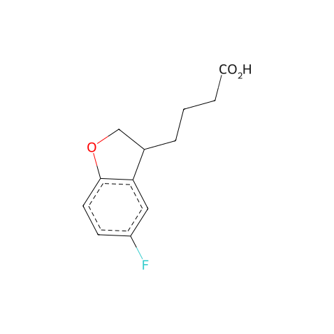 O=C(O)CCCC1COc2ccc(F)cc21